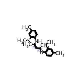 CSc1cc(C)ccc1/N=C(C)/C=C(/C)Nc1ccc(C)cc1SC